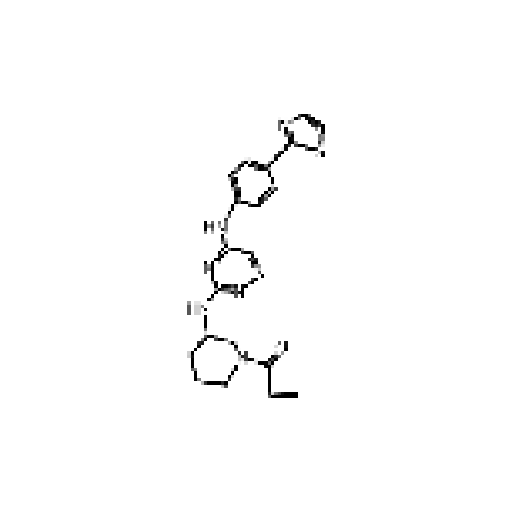 C=CC(=O)N1CCCC(Nc2nncc(Nc3ccc(-c4nccs4)cc3)n2)C1